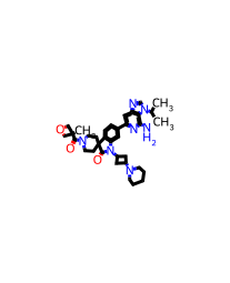 CC(C)n1cnc2cc(-c3ccc4c(c3)N(C3CC(N5CCCCC5)C3)C(=O)C43CCN(C(=O)C4(C)COC4)CC3)nc(N)c21